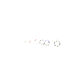 COC(=O)/C(=C\c1ccc2nc(Oc3ccccc3OC)ccc2c1)NC(=O)OC(C)(C)C